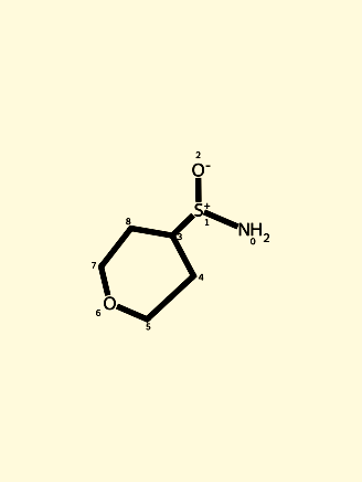 N[S+]([O-])C1CCOCC1